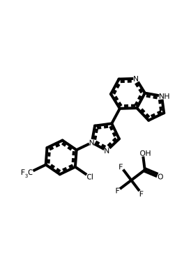 FC(F)(F)c1ccc(-n2cc(-c3ccnc4[nH]ccc34)cn2)c(Cl)c1.O=C(O)C(F)(F)F